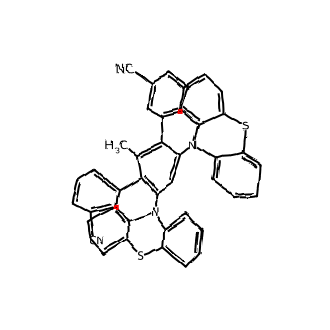 Cc1c(-c2cccc(C#N)c2)c(N2c3ccccc3Sc3ccccc32)cc(N2c3ccccc3Sc3ccccc32)c1-c1cccc(C#N)c1